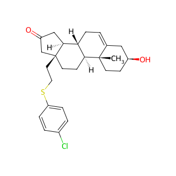 C[C@]12CC[C@H](O)CC1=CC[C@H]1[C@@H]3CC(=O)C[C@@]3(CCSc3ccc(Cl)cc3)CC[C@@H]12